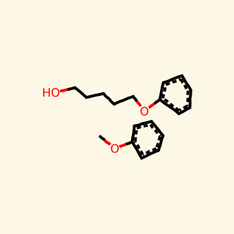 COc1ccccc1.OCCCCCOc1ccccc1